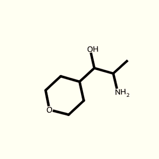 CC(N)C(O)C1CCOCC1